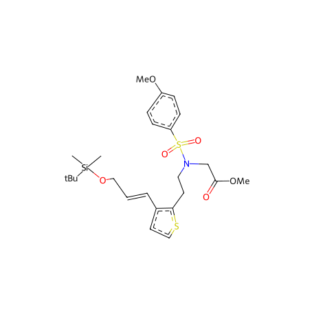 COC(=O)CN(CCc1sccc1C=CCO[Si](C)(C)C(C)(C)C)S(=O)(=O)c1ccc(OC)cc1